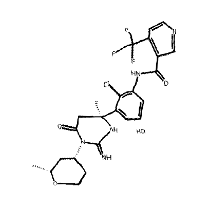 C[C@@H]1C[C@H](N2C(=N)N[C@](C)(c3cccc(NC(=O)c4cnccc4C(F)(F)F)c3Cl)CC2=O)CCO1.Cl